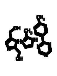 Cc1ccc(-c2ncncn2)cc1.Cc1ncc[nH]1.OCc1cnc(CO)[nH]1